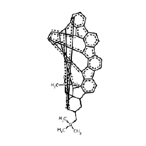 C[Si](C)(C)CC1CC2c3ccc4c5ccc6c7ccc8c9ccc%10c1c1c%11c%10c9c9c8c7c7c6c5c5c4c3c(c3c%11c9c7c35)C12C[Si](C)(C)C